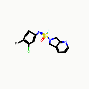 CC(C)c1ccc(N=S(=O)(F)N2Cc3cccnc3C2)cc1Cl